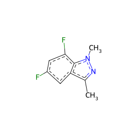 Cc1nn(C)c2c(F)cc(F)cc12